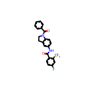 O=C(Nc1ccc2c(c1)CCN2C(=O)c1ccccc1)c1ccc(F)cc1C(F)(F)F